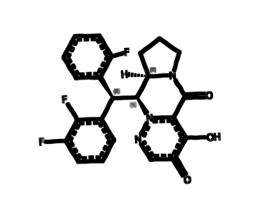 O=C1c2c(O)c(=O)cnn2[C@@H]([C@H](c2ccccc2F)c2cccc(F)c2F)[C@H]2CCCN12